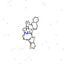 Cc1c(-c2c3sc4ccsc4c3cc[n+]2C)ccc2ccccc12